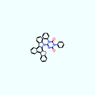 O=c1nc(-n2c3ccccc3c3c4ccccc4c4c5ccccc5sc4c32)n(-c2ccccc2)c(=O)n1-c1ccccc1